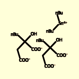 CCCCC(O)(CC(=O)[O-])C(=O)[O-].CCCCC(O)(CC(=O)[O-])C(=O)[O-].CCC[CH2][Sn+4][CH2]CCC